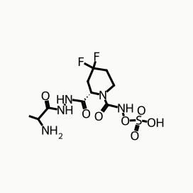 CC(N)C(=O)NNC(=O)[C@@H]1CC(F)(F)CCN1C(=O)NOS(=O)(=O)O